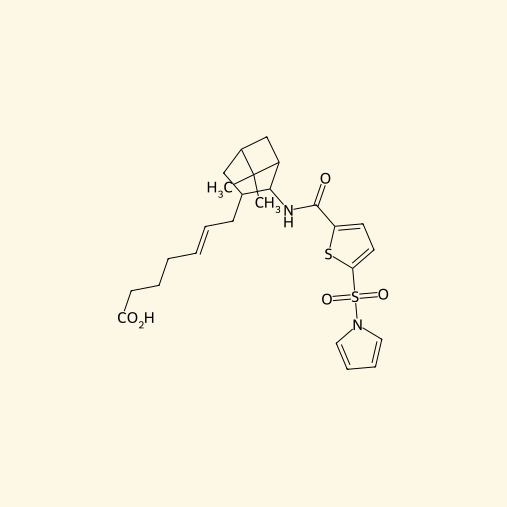 CC1(C)C2CC(C/C=C/CCCC(=O)O)C(NC(=O)c3ccc(S(=O)(=O)n4cccc4)s3)C1C2